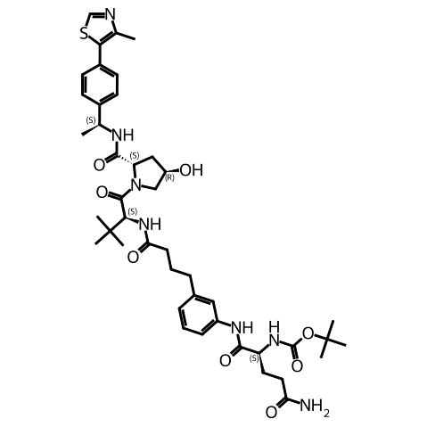 Cc1ncsc1-c1ccc([C@H](C)NC(=O)[C@@H]2C[C@@H](O)CN2C(=O)[C@@H](NC(=O)CCCc2cccc(NC(=O)[C@H](CCC(N)=O)NC(=O)OC(C)(C)C)c2)C(C)(C)C)cc1